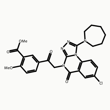 COC(=O)c1cc(C(=O)Cn2c(=O)c3cc(Cl)ccc3n3c(N4CCCCCC4)nnc23)ccc1OC